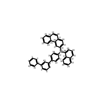 c1ccc(-c2cccc(-c3ccc(N(c4ccc5ccc6ccccc6c5c4)c4cccc5ccccc45)cc3)c2)cc1